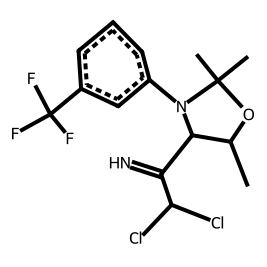 CC1OC(C)(C)N(c2cccc(C(F)(F)F)c2)C1C(=N)C(Cl)Cl